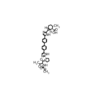 COC(=O)N[C@H](C(=O)N1CCC[C@H]1c1ncc(-c2ccc(-c3ccc(-c4cnc(C5[C@H]6[C@H](C(=O)O)[C@@H](C)CC[C@@H]56)[nH]4)cc3)cc2)[nH]1)C(C)C